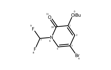 CC(C)COc1cc(Br)cn(C(F)F)c1=O